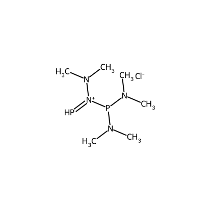 CN(C)[N+](=P)P(N(C)C)N(C)C.[Cl-]